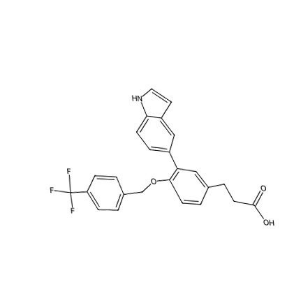 O=C(O)CCc1ccc(OCc2ccc(C(F)(F)F)cc2)c(-c2ccc3[nH]ccc3c2)c1